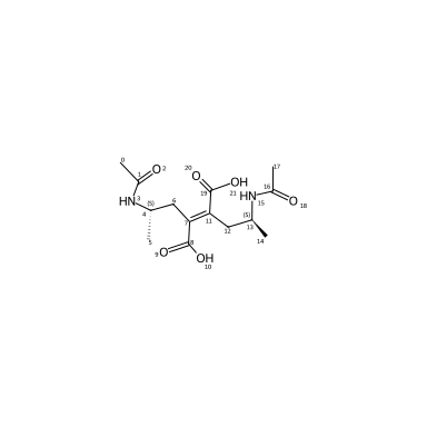 CC(=O)N[C@@H](C)CC(C(=O)O)=C(C[C@H](C)NC(C)=O)C(=O)O